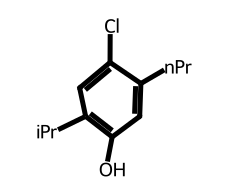 CCCc1cc(O)c(C(C)C)cc1Cl